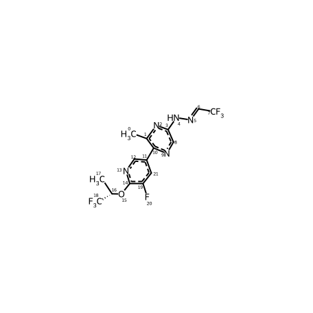 Cc1nc(NN=CC(F)(F)F)cnc1-c1cnc(O[C@@H](C)C(F)(F)F)c(F)c1